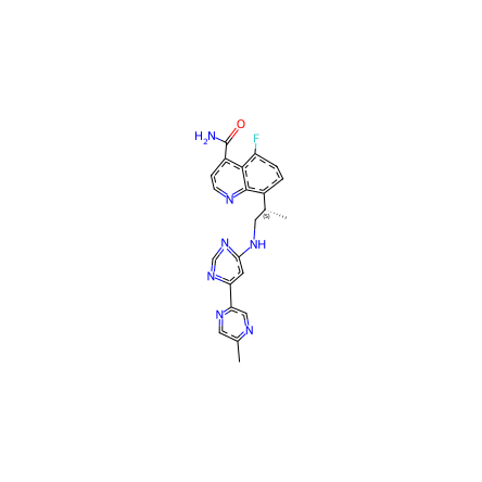 Cc1cnc(-c2cc(NC[C@@H](C)c3ccc(F)c4c(C(N)=O)ccnc34)ncn2)cn1